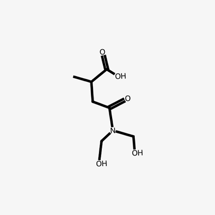 CC(CC(=O)N(CO)CO)C(=O)O